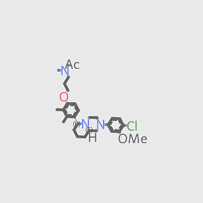 COc1cc(N2CCN3[C@@H](CCC[C@@H]3c3ccc(OCCCN(C)C(C)=O)c(C)c3C)C2)ccc1Cl